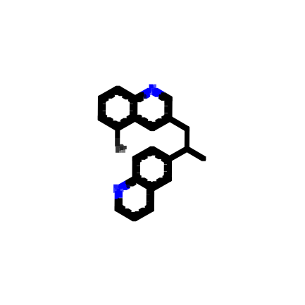 CC(C)c1cccc2ncc(CC(C)c3ccc4ncccc4c3)cc12